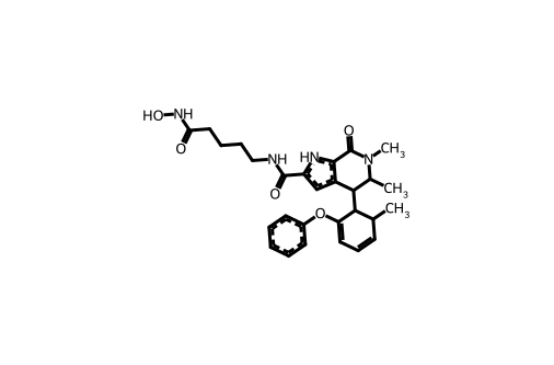 CC1C=CC=C(Oc2ccccc2)C1C1c2cc(C(=O)NCCCCC(=O)NO)[nH]c2C(=O)N(C)C1C